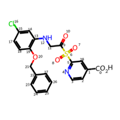 O=C(O)c1ccnc(S(=O)(=O)C(=O)CNc2cc(Cl)ccc2OCc2ccccc2)c1